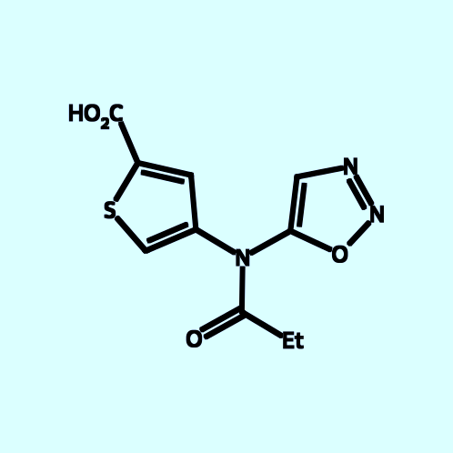 CCC(=O)N(c1csc(C(=O)O)c1)c1cnno1